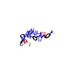 C=CC(=O)N1CCC[C@@H](n2nc(-c3cccc(CNC(=O)c4cccc(C#N)c4)c3)c3c(N)ncnc32)C1